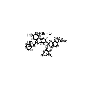 COc1ccc([C@H](Cc2c(Cl)c[n+]([O-])cc2Cl)OC(=O)c2cccc(CN(C(=O)O[C@H]3CN4CCC3CC4)c3cccc(O)c3)c2)cc1OC.O=CO